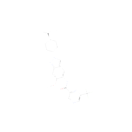 COc1cc2nn([C@H]3CC[C@H](C(C)C)CC3)cc2cc1NC(=O)c1cncc(C(F)(F)F)n1